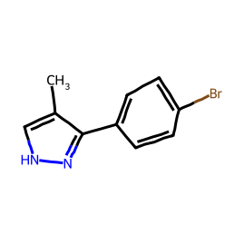 Cc1c[nH]nc1-c1ccc(Br)cc1